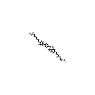 CCCCCCCc1ccc(-c2ccc(OC(=O)c3ccc(CCCCCCC)cc3F)cc2)nc1